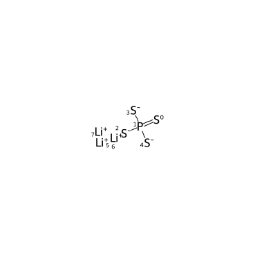 S=P([S-])([S-])[S-].[Li+].[Li+].[Li+]